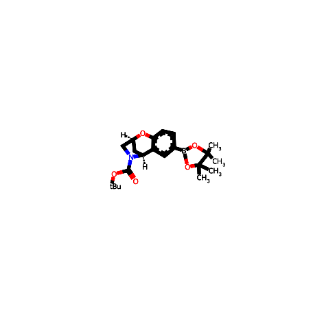 CC(C)(C)OC(=O)N1C[C@@H]2C[C@H]1c1cc(B3OC(C)(C)C(C)(C)O3)ccc1O2